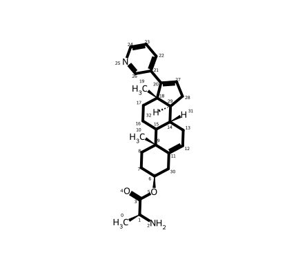 C[C@H](N)C(=O)O[C@H]1CC[C@@]2(C)C(=CC[C@@H]3C2CC[C@]2(C)C(c4cccnc4)=CC[C@@H]32)C1